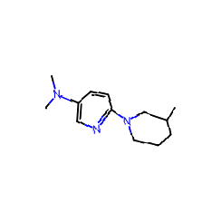 CC1CCCN(c2ccc(N(C)C)cn2)C1